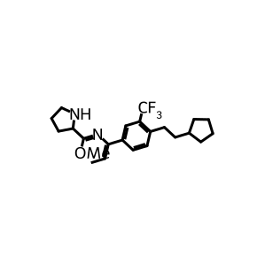 C/C=C(\N=C(/OC)C1CCCN1)c1ccc(CCC2CCCC2)c(C(F)(F)F)c1